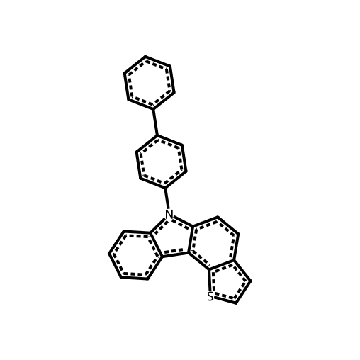 c1ccc(-c2ccc(-n3c4ccccc4c4c5sccc5ccc43)cc2)cc1